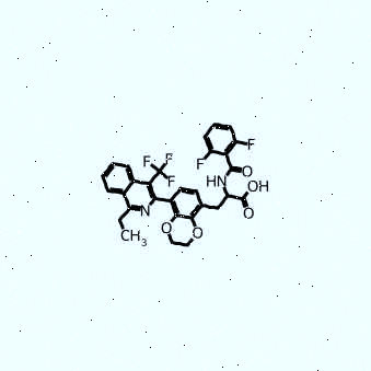 CCc1nc(-c2ccc(CC(NC(=O)c3c(F)cccc3F)C(=O)O)c3c2OCCO3)c(C(F)(F)F)c2ccccc12